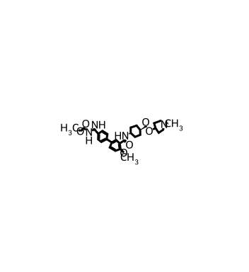 COC(=O)NC(=N)c1ccc(-c2ccc(OC)c(C(=O)N[C@H]3CC[C@H](C(=O)OC4CCN(C)CC4)CC3)c2)cc1